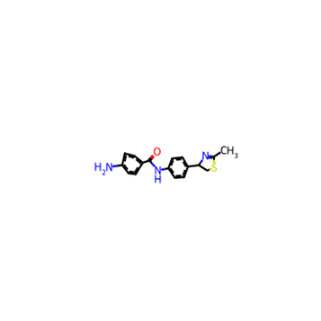 CC1=NC(c2ccc(NC(=O)c3ccc(N)cc3)cc2)CS1